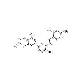 Cc1cc(-c2cnc(N)c(OCc3ccc(N)nc3N)n2)cc2c1CCN(C)C2